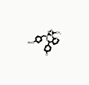 COc1ccc(CN2N=C(c3ccc(Cl)cc3)c3cccnc3-n3c(C)nnc32)cc1